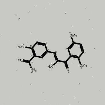 COc1ccc(OC)c(C(=O)C(C)=Cc2ccc(OC)c(C(N)=O)c2)c1